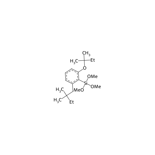 CCC(C)(C)Cc1cccc(OC(C)(C)CC)c1[Si](OC)(OC)OC